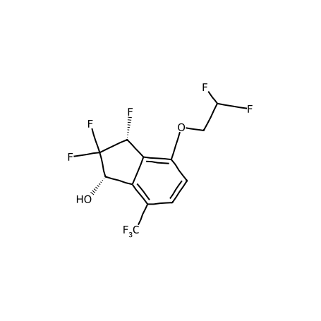 O[C@H]1c2c(C(F)(F)F)ccc(OCC(F)F)c2[C@@H](F)C1(F)F